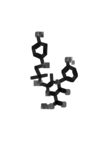 COC(=O)c1nc(NC(C)(C)CNc2ccc(C#N)cc2)c(C)n(-c2cccc(C(F)(F)F)c2)c1=O